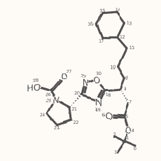 CC(C)(C)OC(=O)C[C@@H](CCCC1CCCCC1)c1nc([C@@H]2CCCN2C(=O)O)no1